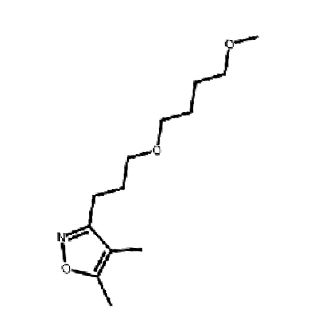 COCCCCOCCCc1noc(C)c1C